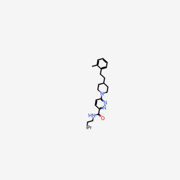 Cc1ccccc1CCC1CCN(c2ccc(C(=O)NCCC(C)C)nn2)CC1